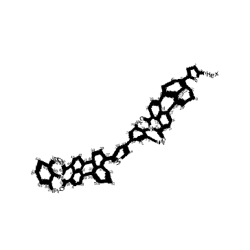 CCCCCCc1ccc(-c2ccc3c4ccc5c6c(ccc(c7cccc2c73)c64)C(=O)N(c2c(C(C)C)cc(-c3csc(-c4ccc6c7ccc8c9c(ccc(c%10cccc4c%106)c97)C(=O)N(c4c(C(C)C)cccc4C(C)C)C8=O)c3)cc2C(C)C)C5=O)s1